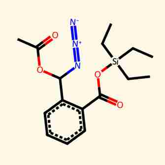 CC[Si](CC)(CC)OC(=O)c1ccccc1C(N=[N+]=[N-])OC(C)=O